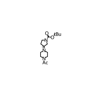 CC(=O)N1CCN([C@H]2CCN(C(=O)OC(C)(C)C)C2)CC1